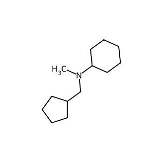 CN(CC1CCCC1)C1CCCCC1